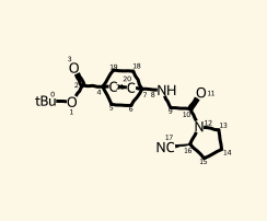 CC(C)(C)OC(=O)C12CCC(NCC(=O)N3CCC[C@H]3C#N)(CC1)CC2